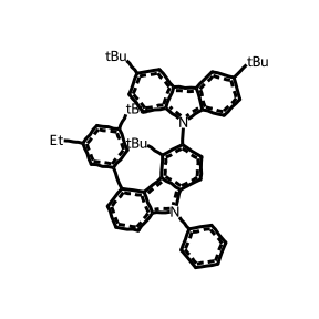 CCc1cc(-c2cccc3c2c2c(C(C)(C)C)c(-n4c5ccc(C(C)(C)C)cc5c5cc(C(C)(C)C)ccc54)ccc2n3-c2ccccc2)cc(C(C)(C)C)c1